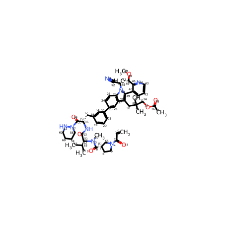 C=CC(=O)N1CC[C@H](C(=O)N(C)[C@H](C(=O)N[C@@H](Cc2cccc(-c3ccc4c(c3)c(CC(C)(C)COC(C)=O)c(-c3cccnc3[C@H](C)OC)n4CC#N)c2)C(=O)N2CCCCN2)C(C)C)C1